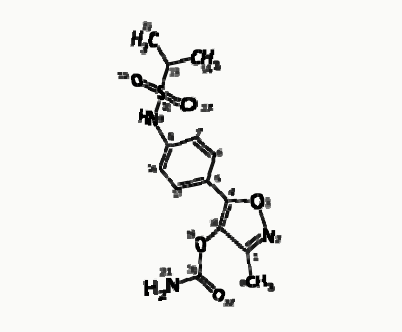 Cc1noc(-c2ccc(NS(=O)(=O)C(C)C)cc2)c1OC(N)=O